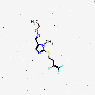 CCO/N=C/c1cnc(SCCC(F)=C(F)F)n1C